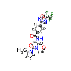 CC1CCCN1C(=O)N1CCOCC1CNC(=O)c1ccc(-c2noc(C(F)(F)F)n2)cc1